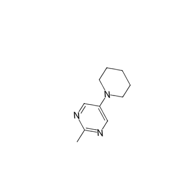 Cc1ncc(N2CCCCC2)cn1